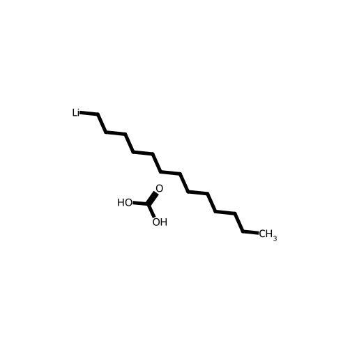 O=C(O)O.[Li][CH2]CCCCCCCCCCCC